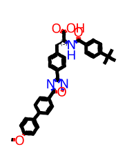 COc1ccc(C2C=CC(c3nc(-c4ccc(C[C@H](NC(=O)c5ccc(C(C)(C)C)cc5)C(=O)O)cc4)no3)=CC2)cc1